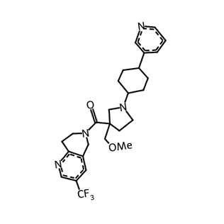 COCC1(C(=O)N2CCc3ncc(C(F)(F)F)cc3C2)CCN(C2CCC(c3cccnc3)CC2)C1